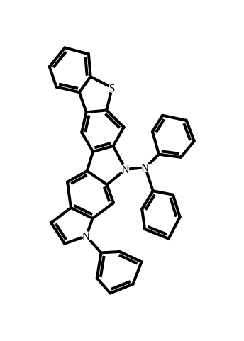 c1ccc(N(c2ccccc2)n2c3cc4sc5ccccc5c4cc3c3cc4ccn(-c5ccccc5)c4cc32)cc1